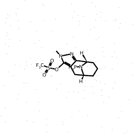 Cn1nc2c(c1OS(=O)(=O)C(F)(F)F)C[C@H]1CCC[C@@H]2N1P